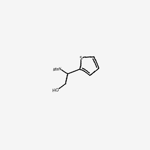 CNC(CO)c1cccs1